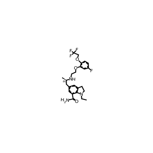 CCN1CCc2cc(C[C@@H](C)NCCOc3cc(F)ccc3OCC(F)(F)F)cc(C(N)=O)c21